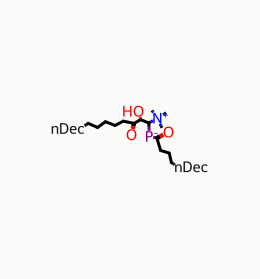 CCCCCCCCCCCCCCCC(=O)C(O)C([P-]C(=O)CCCCCCCCCCCCC)[N+](C)(C)C